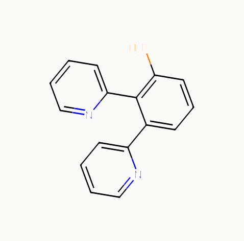 Pc1cccc(-c2ccccn2)c1-c1ccccn1